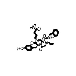 C=CCN1CC(=O)N2[C@@H](Cc3ccc(O)cc3)C(=O)N(CCCC(=O)N(C)C)C[C@@H]2N1C(=O)NCc1ccccc1